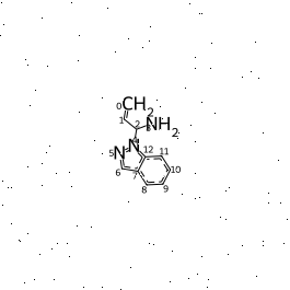 C=CC(N)n1ncc2ccccc21